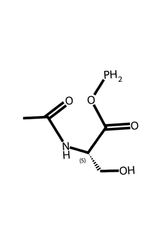 CC(=O)N[C@@H](CO)C(=O)OP